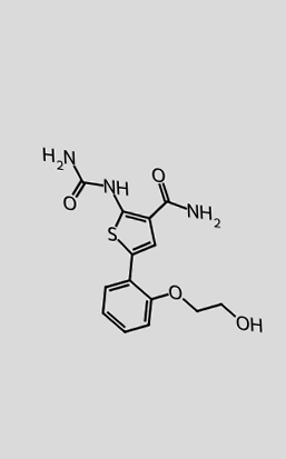 NC(=O)Nc1sc(-c2ccccc2OCCO)cc1C(N)=O